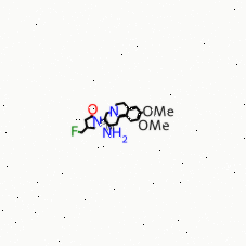 COC1=C(OC)CC2=C3C[C@H](N)[C@@H](N4CC(CF)CC4=O)CN3CCC2=C1